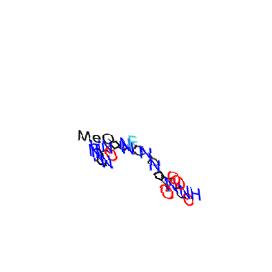 COc1cc2nn([C@H]3CCN(CC4CCN(c5ccc6c(c5)C(=O)N(C5CCC(=O)NC5=O)C6=O)CC4)C[C@@H]3F)cc2cc1NC(=O)c1cnn2cccnc12